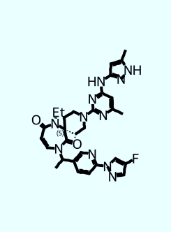 CCN1C(=O)C=CN(C(C)c2ccc(-n3cc(F)cn3)nc2)C(=O)[C@@]12[CH]CN(c1nc(C)cc(Nc3cc(C)[nH]n3)n1)CC2